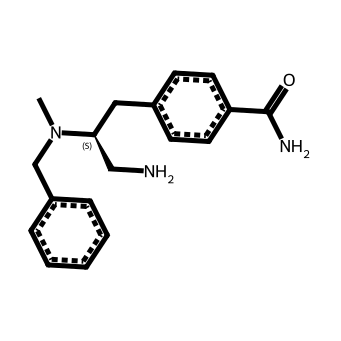 CN(Cc1ccccc1)[C@H](CN)Cc1ccc(C(N)=O)cc1